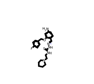 Nc1ccc(/C=N/NC(=S)NCCN2CCCCC2)c(OCc2ccc(F)cc2)c1